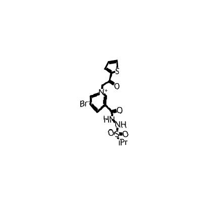 CC(C)S(=O)(=O)NNC(=O)c1ccc[n+](CC(=O)c2cccs2)c1.[Br-]